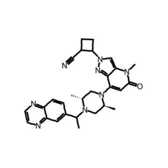 CC(c1ccc2nccnc2c1)N1C[C@H](C)N(c2cc(=O)n(C)c3cn(C4CCC4C#N)nc23)C[C@H]1C